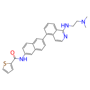 CN(C)CCNc1nccc2c(-c3ccc4cc(NC(=O)c5cccs5)ccc4c3)cccc12